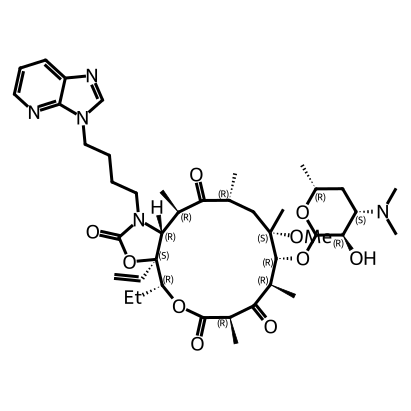 C=C[C@]12OC(=O)N(CCCCn3cnc4cccnc43)[C@@H]1[C@@H](C)C(=O)[C@H](C)C[C@](C)(OC)[C@H](OC1O[C@H](C)C[C@H](N(C)C)[C@H]1O)[C@@H](C)C(=O)[C@@H](C)C(=O)O[C@@H]2CC